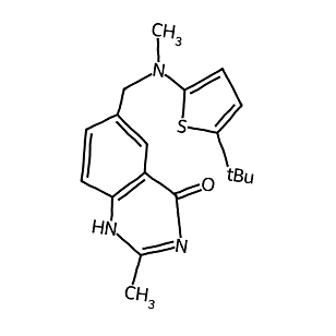 Cc1nc(=O)c2cc(CN(C)c3ccc(C(C)(C)C)s3)ccc2[nH]1